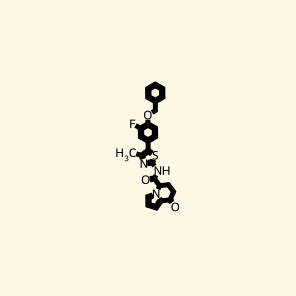 Cc1nc(NC(=O)C2CCC(=O)c3cccn32)sc1-c1ccc(OCc2ccccc2)c(F)c1